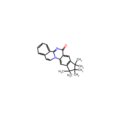 CC1(C)c2cc3c(=O)nc4c5ccccc5ccn4c3cc2C(C)(C)C1(C)C